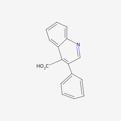 O=C(O)c1c(-c2ccccc2)cnc2ccccc12